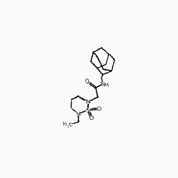 CCN1CCCN(CC(=O)NC2C3CC4CC(C3)CC2C4)S1(=O)=O